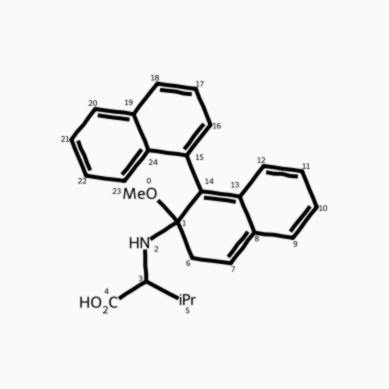 COC1(NC(C(=O)O)C(C)C)CC=c2ccccc2=C1c1cccc2ccccc12